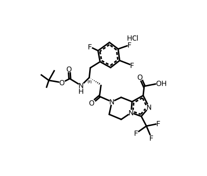 CC(C)(C)OC(=O)N[C@@H](CC(=O)N1CCn2c(C(F)(F)F)nc(C(=O)O)c2C1)Cc1cc(F)c(F)cc1F.Cl